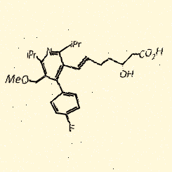 COCc1c(C(C)C)nc(C(C)C)c(/C=C/CC[C@@H](O)CC(=O)O)c1-c1ccc(F)cc1